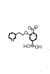 O=[N+]([O-])c1ccc(B(O)O)cc1OCCc1cccnc1